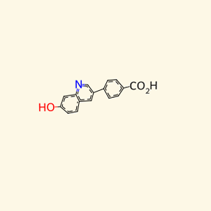 O=C(O)c1ccc(-c2cnc3cc(O)ccc3c2)cc1